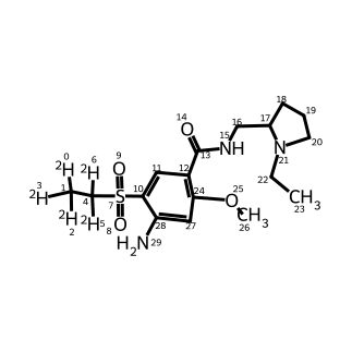 [2H]C([2H])([2H])C([2H])([2H])S(=O)(=O)c1cc(C(=O)NCC2CCCN2CC)c(OC)cc1N